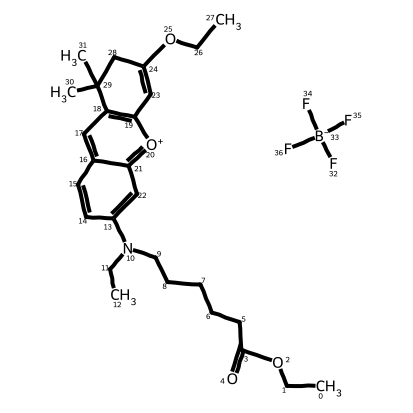 CCOC(=O)CCCCCN(CC)c1ccc2cc3c([o+]c2c1)C=C(OCC)CC3(C)C.F[B-](F)(F)F